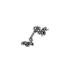 C=CC(=O)N1C[C@@H]2C(=O)N(C)c3cnc4c(F)c(-c5c(F)cccc5OCCCCCCCN5CCC(c6cc(F)cc7c6CN(C6CCC(=O)NC6=O)C7=O)CC5)c(Cl)cc4c3N2C[C@H]1C